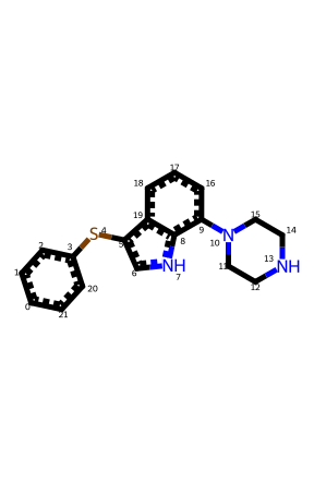 c1ccc(Sc2c[nH]c3c(N4CCNCC4)cccc23)cc1